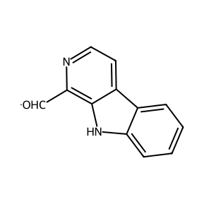 O=[C]c1nccc2c1[nH]c1ccccc12